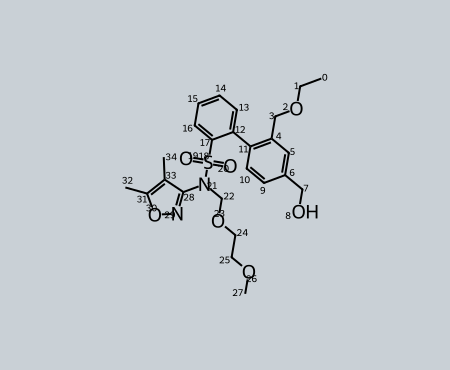 CCOCc1cc(CO)ccc1-c1ccccc1S(=O)(=O)N(COCCOC)c1noc(C)c1C